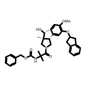 COc1ccc([C@@H]2CN(C(=O)C(C)(C)NC(=O)OCc3ccccc3)C[C@@]2(C)[C@@H](C)O)cc1OC1Cc2ccccc2C1